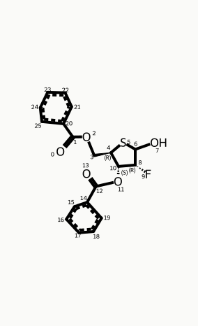 O=C(OC[C@H]1SC(O)[C@H](F)[C@@H]1OC(=O)c1ccccc1)c1ccccc1